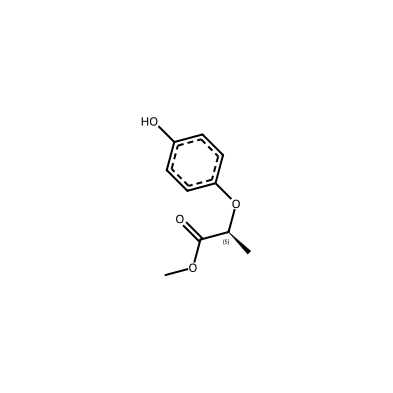 COC(=O)[C@H](C)Oc1ccc(O)cc1